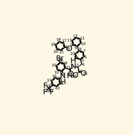 O=C(N[C@@H](Cc1ccc(-c2ccccc2Oc2ccccc2)cc1)C(=O)O)c1cc(Br)ccc1Nc1ccc(C(F)(F)F)cc1